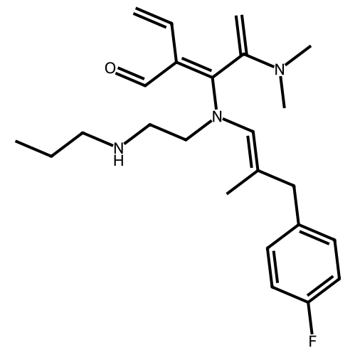 C=C/C(C=O)=C(\C(=C)N(C)C)N(/C=C(\C)Cc1ccc(F)cc1)CCNCCC